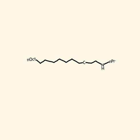 CC[CH]NCCCCCCCCCCCCCCCCCC